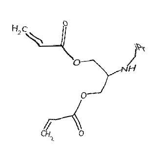 C=CC(=O)OCC(COC(=O)C=C)NC(C)C